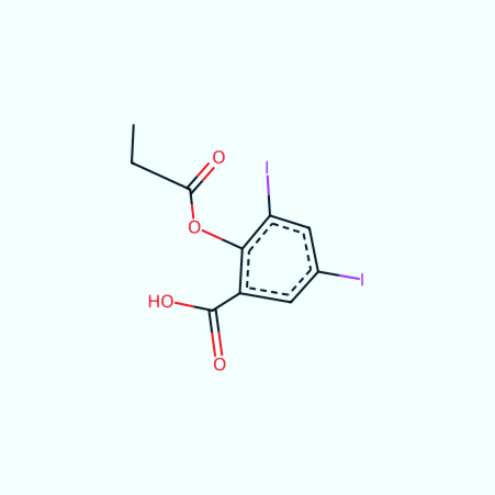 CCC(=O)Oc1c(I)cc(I)cc1C(=O)O